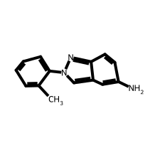 Cc1ccccc1-n1cc2cc(N)ccc2n1